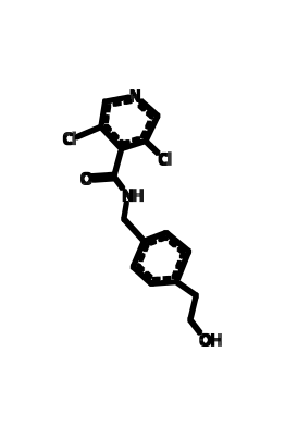 O=C(NCc1ccc(CCO)cc1)c1c(Cl)cncc1Cl